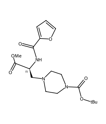 COC(=O)[C@H](CN1CCN(C(=O)OC(C)(C)C)CC1)NC(=O)c1ccco1